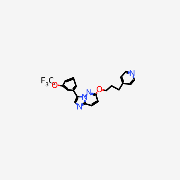 FC(F)(F)Oc1cccc(-c2cnc3ccc(OCCCc4ccncc4)nn23)c1